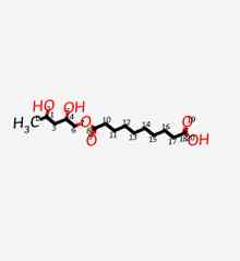 CC(O)CC(O)COC(=O)CCCCCCCCC(=O)O